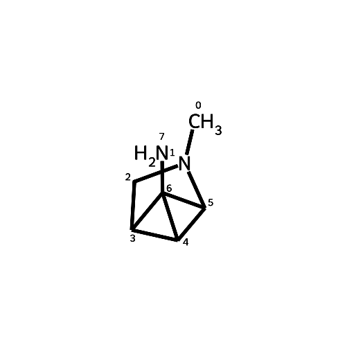 CN1CC2C3C1C23N